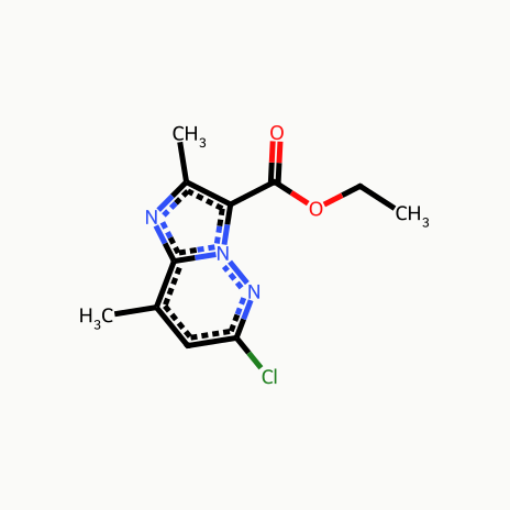 CCOC(=O)c1c(C)nc2c(C)cc(Cl)nn12